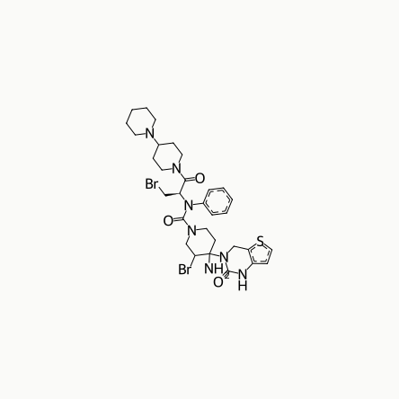 NC1(N2Cc3sccc3NC2=O)CCN(C(=O)N(c2ccccc2)[C@@H](CBr)C(=O)N2CCC(N3CCCCC3)CC2)CC1Br